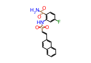 NS(=O)(=O)c1ccc(F)cc1NS(=O)(=O)/C=C/c1ccc2ccccc2c1